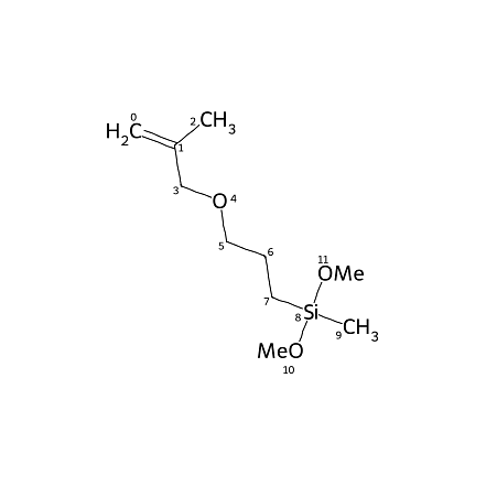 C=C(C)COCCC[Si](C)(OC)OC